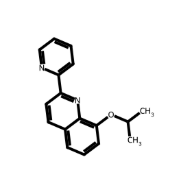 CC(C)Oc1cccc2ccc(-c3ccccn3)nc12